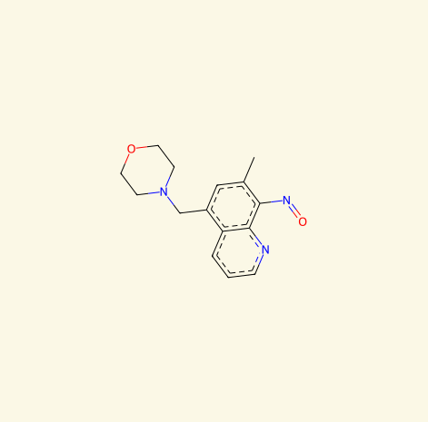 Cc1cc(CN2CCOCC2)c2cccnc2c1N=O